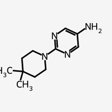 CC1(C)CCN(c2ncc(N)cn2)CC1